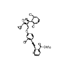 COC(=O)c1cccnc1C#Cc1ccc(OCc2c(-c3c(Cl)cccc3Cl)noc2C2CC2)cc1Cl